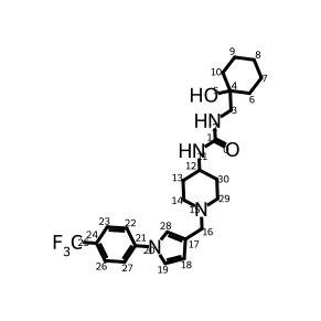 O=C(NCC1(O)CCCCC1)NC1CCN(Cc2ccn(-c3ccc(C(F)(F)F)cc3)c2)CC1